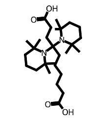 CC1(C)CCCC(C)(C)N1C(CCCCCC(=O)O)(CCC(=O)O)N1C(C)(C)CCCC1(C)C